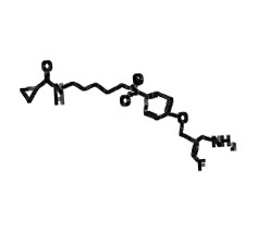 NC/C(=C\F)COc1ccc(S(=O)(=O)CCCCCNC(=O)C2CC2)cc1